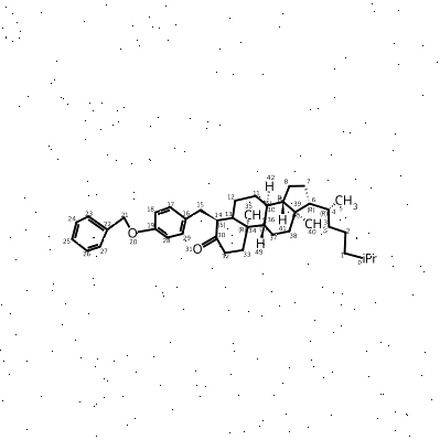 CC(C)CCC[C@@H](C)[C@H]1CC[C@H]2[C@@H]3CCC4[C@H](Cc5ccc(OCc6ccccc6)cc5)C(=O)CC[C@]4(C)[C@H]3CC[C@]12C